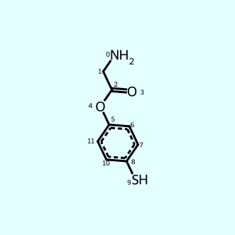 NCC(=O)Oc1ccc(S)cc1